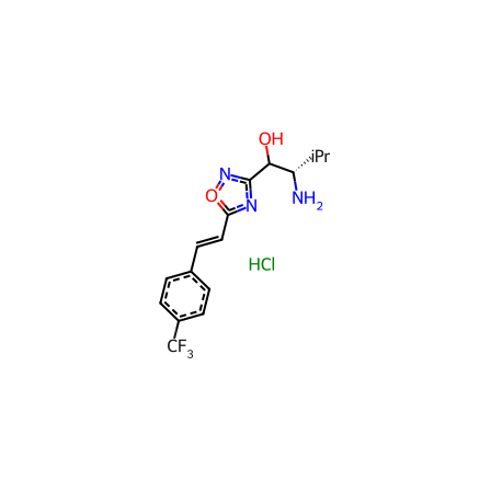 CC(C)[C@H](N)C(O)c1noc(C=Cc2ccc(C(F)(F)F)cc2)n1.Cl